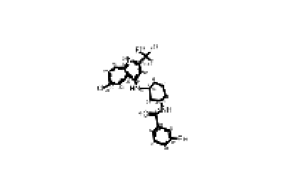 O=C(N[C@@H]1CCC[C@H](Nc2cc(C(F)(F)F)nc3ccc(Cl)cc23)C1)c1cccc(F)c1